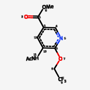 COC(=O)c1cnc(OCC(F)(F)F)c(NC(C)=O)c1